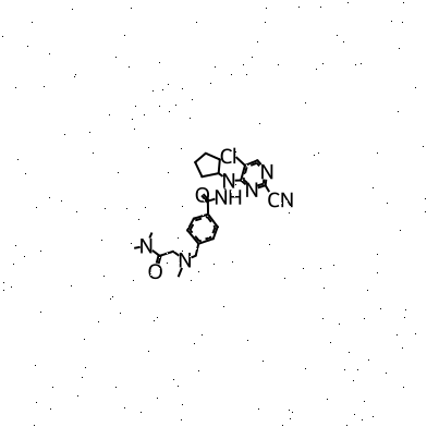 CN(CC(=O)N(C)C)Cc1ccc(C(=O)NN(c2nc(C#N)ncc2Cl)C2CCCC2)cc1